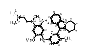 COc1cc(N(C)CCN(C)C)c(N)cc1Nc1ncc(C)c(-c2c3n(c4ccccc24)CCCC3)n1